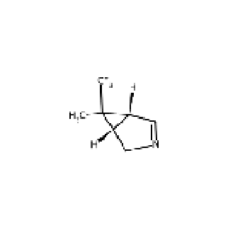 CC1(C(F)(F)F)[C@@H]2C=NC[C@@H]21